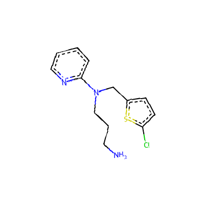 NCCCN(Cc1ccc(Cl)s1)c1ccccn1